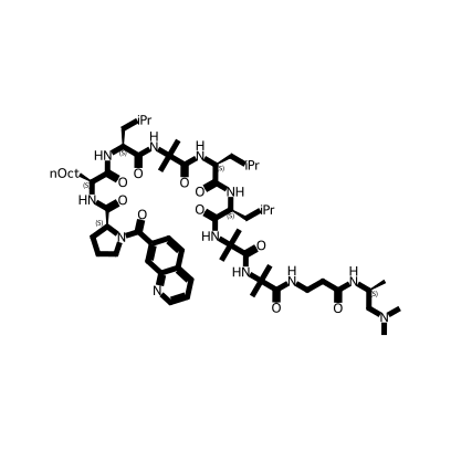 CCCCCCCC[C@H](NC(=O)[C@@H]1CCCN1C(=O)c1ccc2cccnc2c1)C(=O)N[C@@H](CC(C)C)C(=O)NC(C)(C)C(=O)N[C@@H](CC(C)C)C(=O)N[C@@H](CC(C)C)C(=O)NC(C)(C)C(=O)NC(C)(C)C(=O)NCCC(=O)N[C@@H](C)CN(C)C